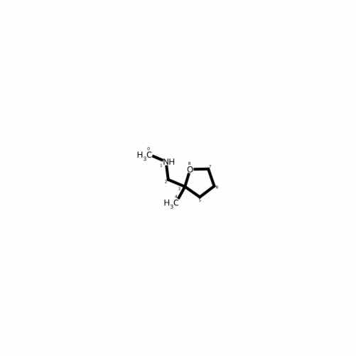 CNCC1(C)CCCO1